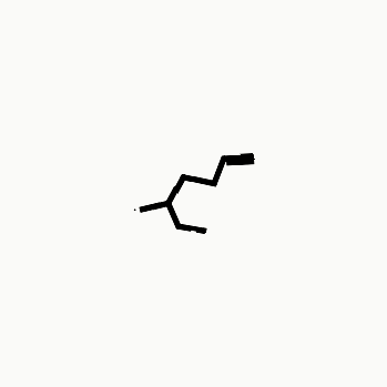 [CH2]C(CC)CCC=C